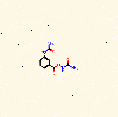 NC(=O)NOC(=O)c1cccc(NC(N)=O)c1